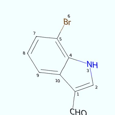 O=Cc1c[nH]c2c(Br)cccc12